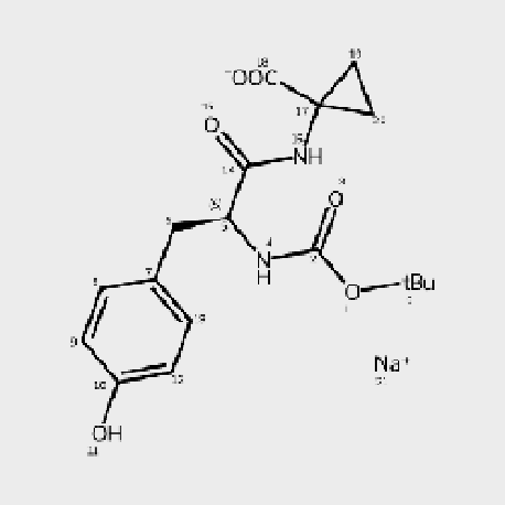 CC(C)(C)OC(=O)N[C@@H](Cc1ccc(O)cc1)C(=O)NC1(C(=O)[O-])CC1.[Na+]